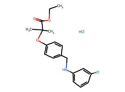 CCOC(=O)C(C)(C)Oc1ccc(CNc2cccc(Cl)c2)cc1.Cl